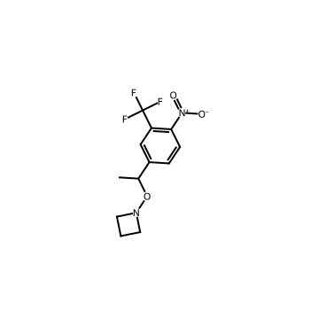 CC(ON1CCC1)c1ccc([N+](=O)[O-])c(C(F)(F)F)c1